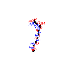 CC(C)(C)OC(=O)NOCCNC(=O)CNC(=O)CNC(=O)CNC(=O)CNC(=O)C(CO)NC(=O)CCC(N)C(=O)O